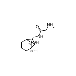 NCC(=O)NC[C@@]1(O)C2CCC[C@@H]1CC2